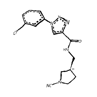 N#CN1CC[C@H](CNC(=O)c2cn(-c3cccc(Cl)c3)nn2)C1